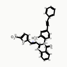 Cc1cc(C#Cc2ccccc2)ccc1-n1c(/C=C/c2ccc([N+](=O)[O-])o2)nc2ccccc2c1=O